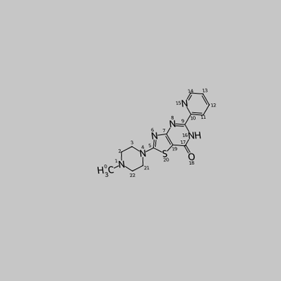 CN1CCN(c2nc3nc(-c4ccccn4)[nH]c(=O)c3s2)CC1